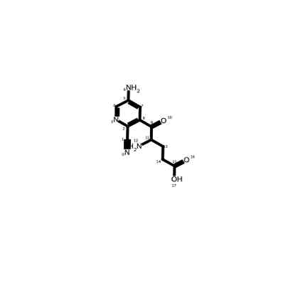 N#Cc1ncc(N)cc1C(=O)C(N)CCC(=O)O